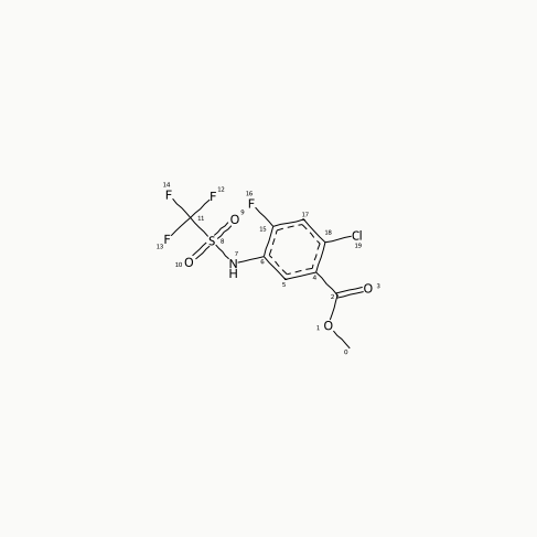 COC(=O)c1cc(NS(=O)(=O)C(F)(F)F)c(F)cc1Cl